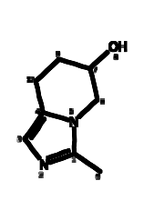 Cc1ncc2n1CC(O)CC2